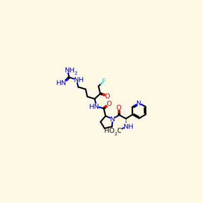 N=C(N)NCCCC(NC(=O)C1CCCN1C(=O)[C@@H](NC(=O)O)c1cccnc1)C(=O)CF